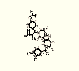 CNC(=O)C(c1ccc(OC(F)F)cc1)N1C[C@@H](C)n2nc3c(c2C1=O)CN(C(=O)c1ccc(Cl)c(Cl)c1)[C@H](C)C3